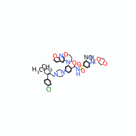 CC1(C)CCC(CN2CCN(c3ccc(C(=O)NS(=O)(=O)c4ccc(NC[C@H]5COCCO5)c([N+](=O)[O-])c4)c(N4CCCOc5nc6occc6cc54)c3)CC2)=C(c2ccc(Cl)cc2)C1